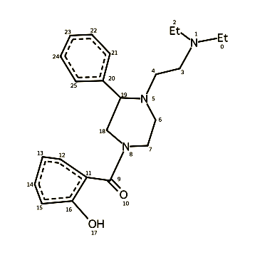 CCN(CC)CCN1CCN(C(=O)c2ccccc2O)CC1c1ccccc1